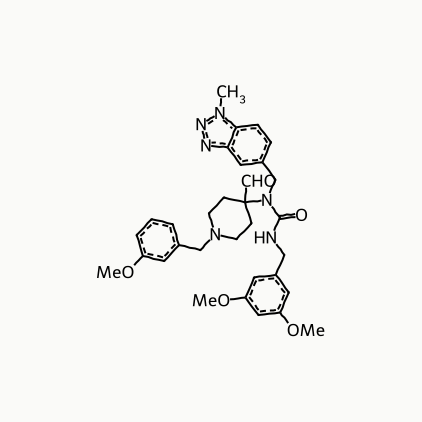 COc1cccc(CN2CCC(C=O)(N(Cc3ccc4c(c3)nnn4C)C(=O)NCc3cc(OC)cc(OC)c3)CC2)c1